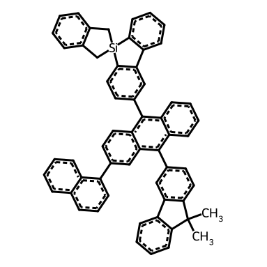 CC1(C)c2ccccc2-c2cc(-c3c4ccccc4c(-c4ccc5c(c4)-c4ccccc4[Si]54Cc5ccccc5C4)c4ccc(-c5cccc6ccccc56)cc34)ccc21